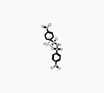 C[C@@]1(S(=O)(=O)NS(=O)(=O)c2ccc([N+](=O)[O-])cc2)CC=C([N+](=O)[O-])CC1